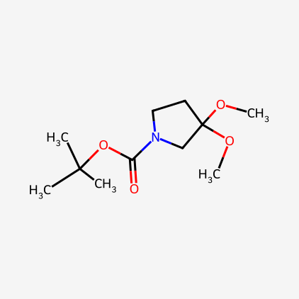 COC1(OC)CCN(C(=O)OC(C)(C)C)C1